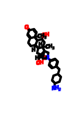 C[C@]12C=CC(=O)C=C1CC[C@@H]1C2[C@@H](O)C[C@@]2(C)[C@H]1C[C@H]1CN(c3ccc(CC4CCC(N)CC4)cc3)C[C@]12C(=O)CO